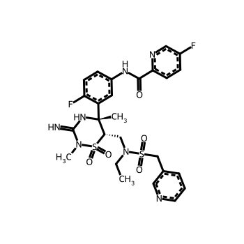 CCN(C[C@H]1[C@@](C)(c2cc(NC(=O)c3ccc(F)cn3)ccc2F)NC(=N)N(C)S1(=O)=O)S(=O)(=O)Cc1cccnc1